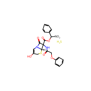 O=C(COc1ccccc1)NC1(C(=O)OC(c2ccccc2)[N+](=O)[O-])C(=O)N2C=C(O)CS[C@H]21.S